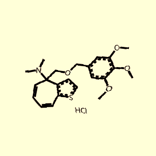 COc1cc(COCC2(N(C)C)C=CC=Cc3sccc32)cc(OC)c1OC.Cl